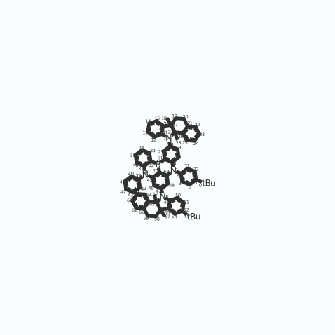 CC(C)(C)c1ccc(N2c3ccc(N4c5ccccc5C5(C)CCc6ccccc6C45C)cc3B3c4ccccc4N(c4ccccc4)c4cc(N5c6ccc(C(C)(C)C)cc6C6(C)CCc7ccccc7C56C)cc2c43)cc1